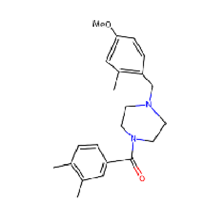 COc1ccc(CN2CCN(C(=O)c3ccc(C)c(C)c3)CC2)c(C)c1